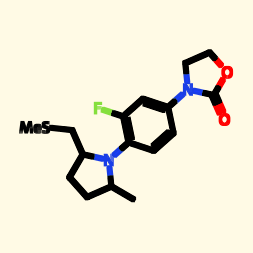 CSCC1CCC(C)N1c1ccc(N2CCOC2=O)cc1F